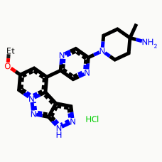 CCOc1cc(-c2cnc(N3CCC(C)(N)CC3)cn2)c2c3cn[nH]c3nn2c1.Cl